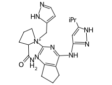 CC(C)c1cc(Nc2nc([N+]3(Cc4ccn[nH]4)CCCC3C(N)=O)nc3c2CCC3)n[nH]1